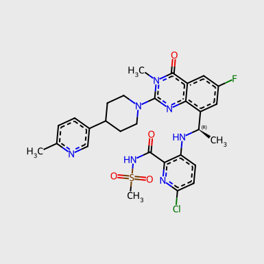 Cc1ccc(C2CCN(c3nc4c([C@@H](C)Nc5ccc(Cl)nc5C(=O)NS(C)(=O)=O)cc(F)cc4c(=O)n3C)CC2)cn1